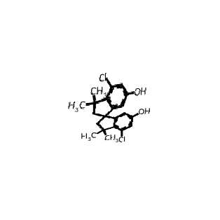 CC1(C)CC2(CC(C)(C)c3c(Cl)cc(O)cc32)c2cc(O)cc(Cl)c21